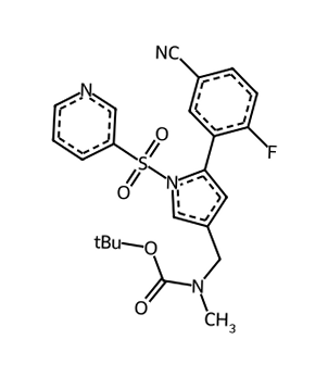 CN(Cc1cc(-c2cc(C#N)ccc2F)n(S(=O)(=O)c2cccnc2)c1)C(=O)OC(C)(C)C